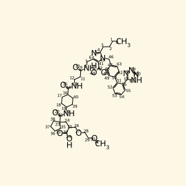 CCCCc1nc(CNC(=O)CCNC(=O)C2CCC(NC(=O)C3(CC(COCCOC)C(=O)O)CCCC3)CC2)c(C(=O)O)n1Cc1ccc(-c2ccccc2-c2nnn[nH]2)cc1